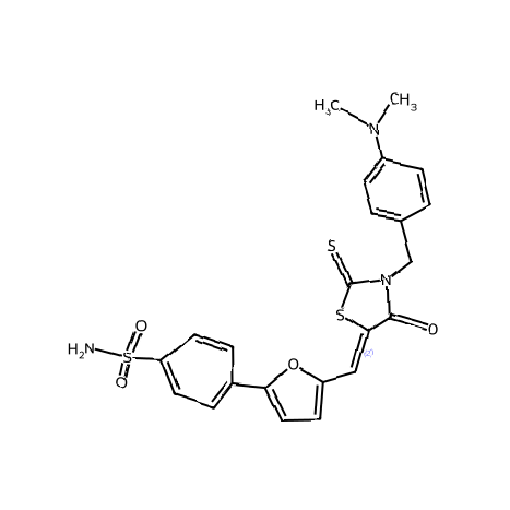 CN(C)c1ccc(CN2C(=O)/C(=C/c3ccc(-c4ccc(S(N)(=O)=O)cc4)o3)SC2=S)cc1